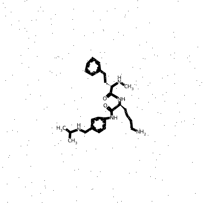 CN[C@@H](CCc1ccccc1)C(=O)N[C@@H](CCCCN)C(=O)Nc1ccc(CNC(C)C)cc1